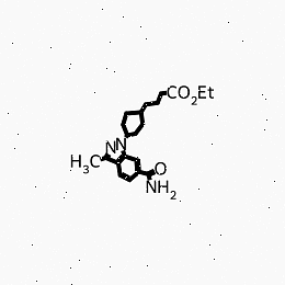 CCOC(=O)CCCC1CCC(n2nc(C)c3ccc(C(N)=O)cc32)CC1